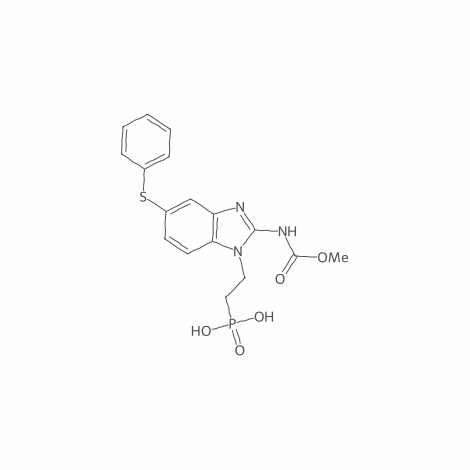 COC(=O)Nc1nc2cc(Sc3ccccc3)ccc2n1CCP(=O)(O)O